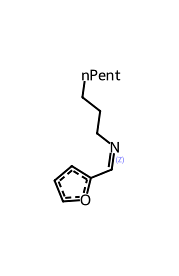 CCCCCCCC/N=C\c1ccco1